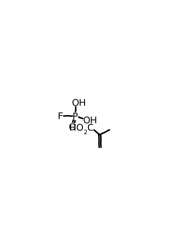 C=C(C)C(=O)O.O=P(O)(O)F